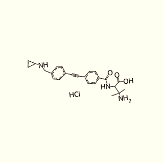 CC(C)(N)C(NC(=O)c1ccc(C#Cc2ccc(CNC3CC3)cc2)cc1)C(=O)O.Cl